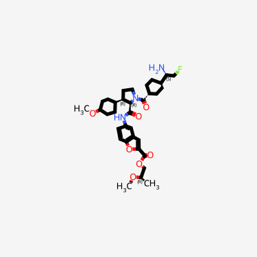 COC1CCC([C@H]2CCN(C(=O)[C@H]3CC[C@H]([C@H](N)CF)CC3)[C@H]2C(=O)Nc2ccc3oc(C(=O)OC[C@@H](C)OC)cc3c2)CC1